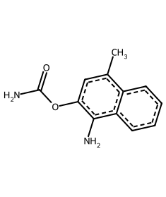 Cc1cc(OC(N)=O)c(N)c2ccccc12